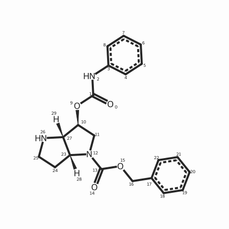 O=C(Nc1ccccc1)O[C@H]1CN(C(=O)OCc2ccccc2)[C@@H]2CCN[C@H]12